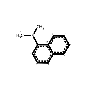 CB(C)c1cccc2ccccc12